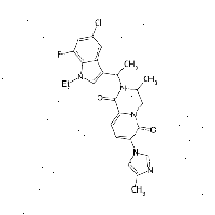 CCn1cc(C(C)N2C(=O)c3ccc(-n4cnc(C)c4)c(=O)n3CC2C)c2cc(Cl)cc(F)c21